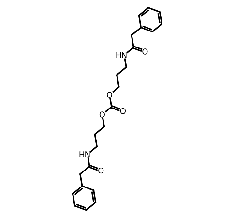 O=C(Cc1ccccc1)NCCCOC(=O)OCCCNC(=O)Cc1ccccc1